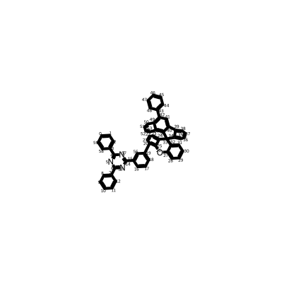 c1ccc(-c2nc(-c3ccccc3)nc(-c3cccc(-c4cccc5c4Oc4ccccc4C54c5ccccc5-c5cc(-c6ccccc6)c6ccccc6c54)c3)n2)cc1